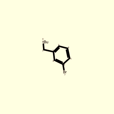 CC(C)(C)Cc1cccc(Br)c1